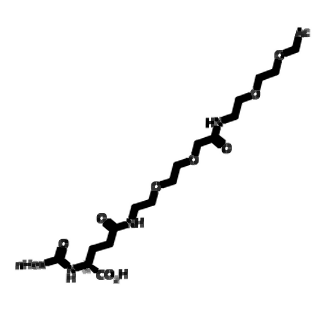 CCCCCCC(=O)N[C@@H](CCC(=O)NCCOCCOCC(=O)NCCOCCOCC(C)=O)C(=O)O